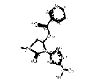 CCC[S+]([O-])c1nnc(N2C(=O)N(C)CC2OC(=O)c2cccnc2)s1